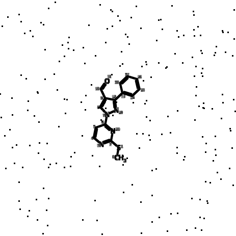 CSc1nccc(-n2cc(C=O)c(-c3ccccc3)n2)n1